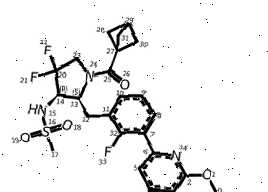 COc1cccc(-c2cccc(C[C@H]3[C@@H](NS(C)(=O)=O)C(F)(F)CN3C(=O)C34CC(C3)C4)c2F)n1